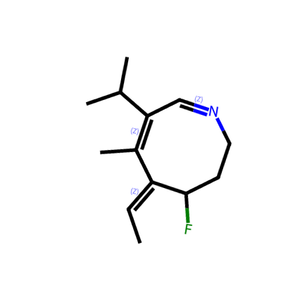 C/C=C1/C(C)=C(C(C)C)\C=N/CCC1F